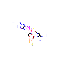 COP(S)OCCn1c(COP(S)(=NONc2nc(N)[nH]c(=O)c2N)OC2COCC2F)cc2c(N)ncnc21